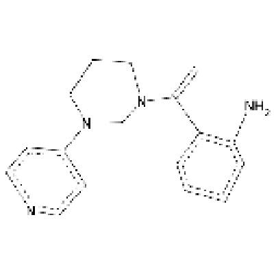 C=C(c1ccccc1N)N1CCCN(c2ccncc2)C1